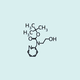 CC(C)(C)OC(=O)N(CCO)c1ccccn1